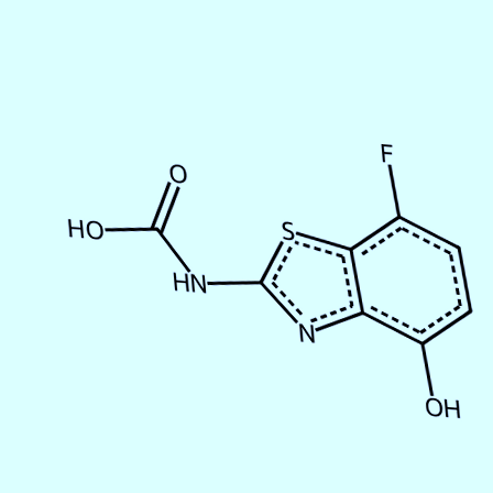 O=C(O)Nc1nc2c(O)ccc(F)c2s1